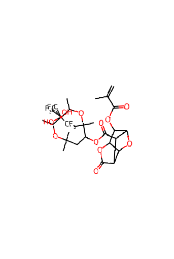 C=C(C)C(=O)OC1C2OC(=O)C3C2OC1C3C(=O)OC(CC(C)(C)OC(C)C(C)(O)C(F)(F)F)C(C)(C)OC(C)C(O)(C(F)(F)F)C(F)(F)F